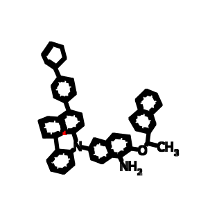 CC(Oc1ccc2cc(N(c3ccc(-c4ccc(C5=CC=CCC5)cc4)cc3)c3ccccc3-c3ccccc3)ccc2c1N)c1ccc2ccccc2c1